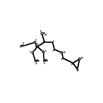 CCCO[Si](OCCC)(OCCC)C(C)CCOCC1CO1